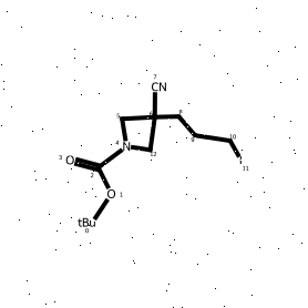 CC(C)(C)OC(=O)N1CC(C#N)(CCCI)C1